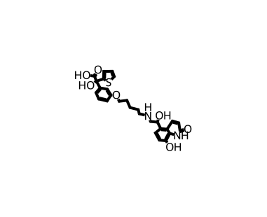 O=C(O)C(O)(c1cccc(OCCCCCNCC(O)c2ccc(O)c3[nH]c(=O)ccc23)c1)c1cccs1